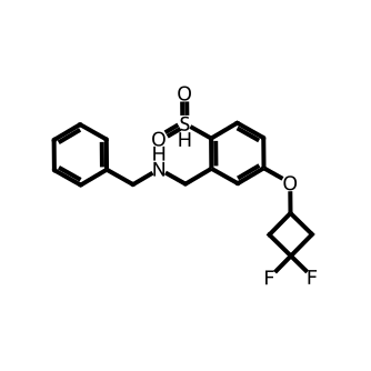 O=[SH](=O)c1ccc(OC2CC(F)(F)C2)cc1CNCc1ccccc1